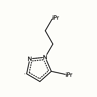 CC(C)CCn1n[c]cc1C(C)C